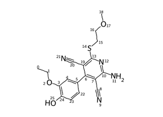 CCOc1cc(-c2c(C#N)c(N)nc(SCCOC)c2C#N)ccc1O